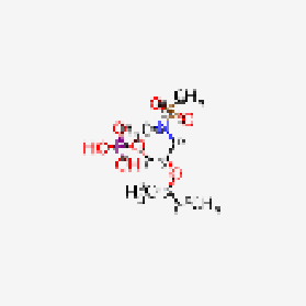 CC[C@H](C)O[C@H](COP(=O)(O)O)CN(C)S(C)(=O)=O